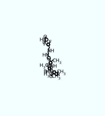 CCc1cc(Nc2ncc(Br)c(Nc3ccc4c(C)nccc4c3P(C)(C)=O)n2)c(OC)cc1N1CCC(NCCNCCc2cc(F)c([C@H]3CCC(=O)NC3=O)c(F)c2)CC1